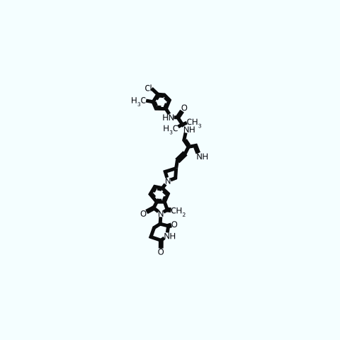 C=C1c2cc(N3CC(C#C/C(C=N)=C/NC(C)(C)C(=O)Nc4ccc(Cl)c(C)c4)C3)ccc2C(=O)N1C1CCC(=O)NC1=O